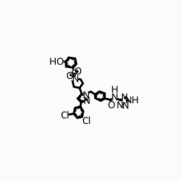 O=C(Nc1nn[nH]n1)c1ccc(Cn2nc(-c3cc(Cl)cc(Cl)c3)cc2C2CCN(S(=O)(=O)c3cccc(O)c3)CC2)cc1